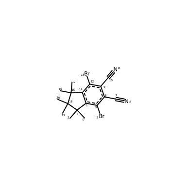 CC1(C)c2c(Br)c(C#N)c(C#N)c(Br)c2C(C)(C)C1(C)C